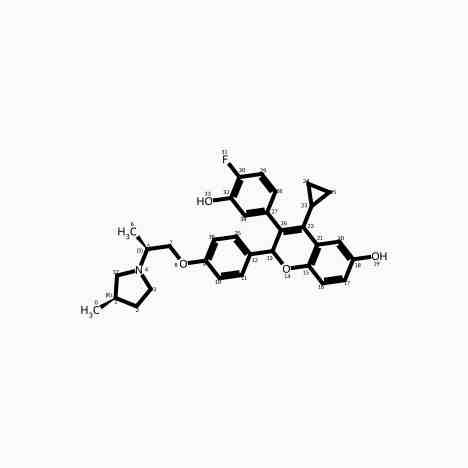 C[C@@H]1CCN([C@@H](C)COc2ccc(C3Oc4ccc(O)cc4C(C4CC4)=C3c3ccc(F)c(O)c3)cc2)C1